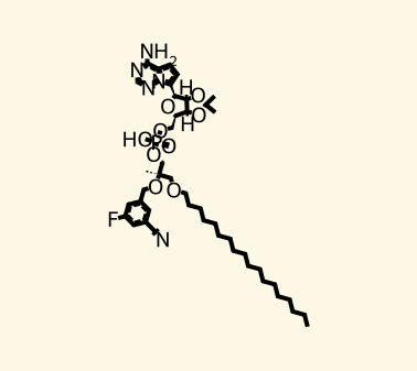 CCCCCCCCCCCCCCCCCCOC[C@](C)(COP(=O)(O)OC[C@H]1O[C@@H](c2ccc3c(N)ncnn23)[C@@H]2OC(C)(C)O[C@@H]21)OCc1cc(F)cc(C#N)c1